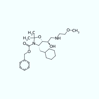 COCCNC[C@@H](O)[C@H]1OC(C)(C)N(C(=O)OCc2ccccc2)[C@H]1CC1CCCCC1